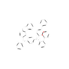 Brc1ccccc1-c1ccccc1N(c1ccc(-c2ccccc2)cc1)c1ccc2c(c1)c1c3c(ccc1n2-c1ccccc1)sc1ccccc13